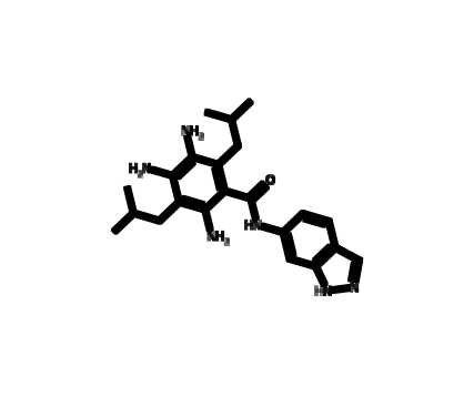 CC(C)Cc1c(N)c(N)c(CC(C)C)c(C(=O)Nc2ccc3cn[nH]c3c2)c1N